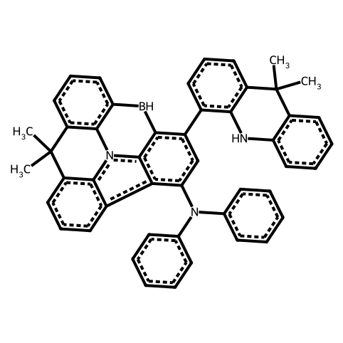 CC1(C)c2ccccc2Nc2c(-c3cc(N(c4ccccc4)c4ccccc4)c4c5cccc6c5n5c4c3Bc3cccc(c3-5)C6(C)C)cccc21